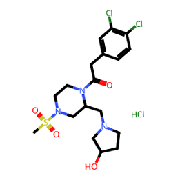 CS(=O)(=O)N1CCN(C(=O)Cc2ccc(Cl)c(Cl)c2)C(CN2CCC(O)C2)C1.Cl